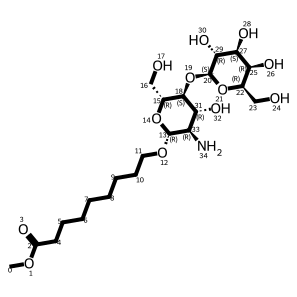 COC(=O)CCCCCCCCO[C@@H]1O[C@H](CO)[C@@H](O[C@@H]2O[C@H](CO)[C@H](O)[C@H](O)[C@H]2O)[C@H](O)[C@H]1N